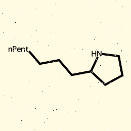 CCCCCCCCC1CCCN1